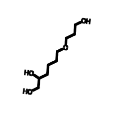 OCCCOCCCCC(O)CO